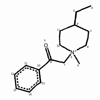 CCC1CC[N+](C)(CC(=O)c2ccccc2)CC1